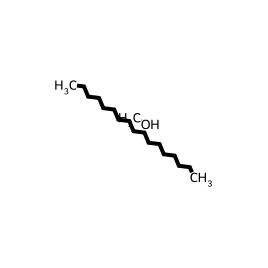 CCCCCCCCCCCCCCCCC.CO